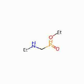 CCNC[PH](=O)OCC